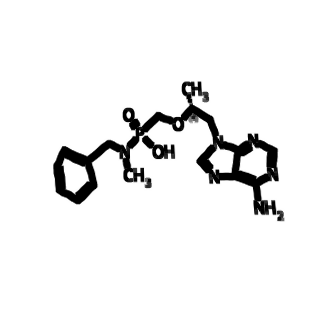 C[C@H](Cn1cnc2c(N)ncnc21)OCP(=O)(O)N(C)Cc1ccccc1